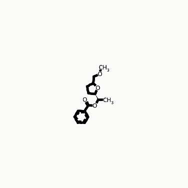 COCC1CC[C@@H](C(C)OC(=O)c2ccccc2)O1